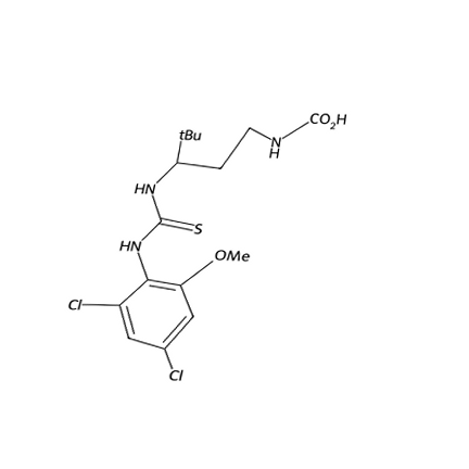 COc1cc(Cl)cc(Cl)c1NC(=S)NC(CCNC(=O)O)C(C)(C)C